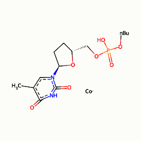 CCCCOP(=O)(O)OC[C@H]1CC[C@H](n2cc(C)c(=O)[nH]c2=O)O1.[Co]